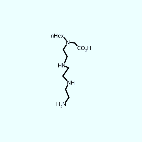 CCCCCCN(CCNCCNCCN)CC(=O)O